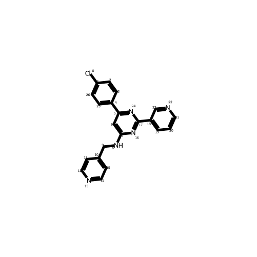 Clc1ccc(-c2cc(NCc3ccncc3)nc(-c3cccnc3)n2)cc1